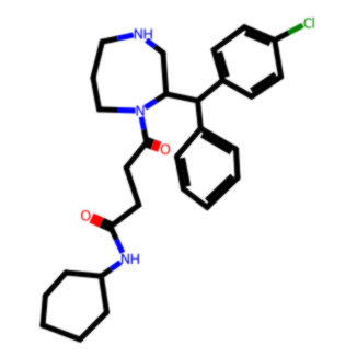 O=C(CCC(=O)N1CCCNCC1C(c1ccccc1)c1ccc(Cl)cc1)NC1CCCCC1